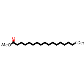 CCCCCCCCCCCCCCCCCCCCCCCCCC(=O)OC